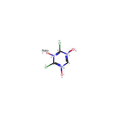 [NaH].[O-][n+]1c[n+]([O-])c(Cl)[n+]([O-])c1Cl